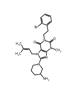 CC(C)=CCn1c(N2CCCC(N)C2)nc2c1c(=O)n(CCc1ccccc1Br)c(=O)n2C